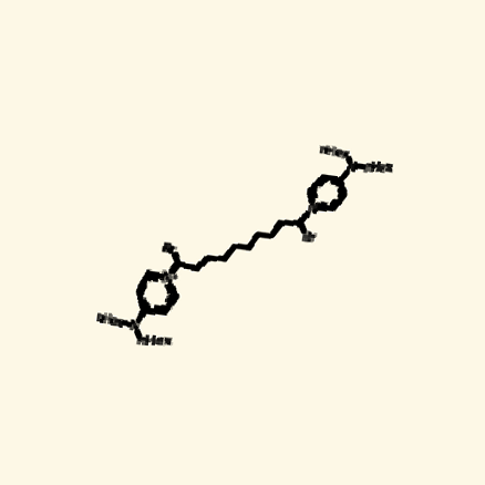 CCCCCCN(CCCCCC)c1cc[n+](C(Br)CCCCCCCCC(Br)[n+]2ccc(N(CCCCCC)CCCCCC)cc2)cc1